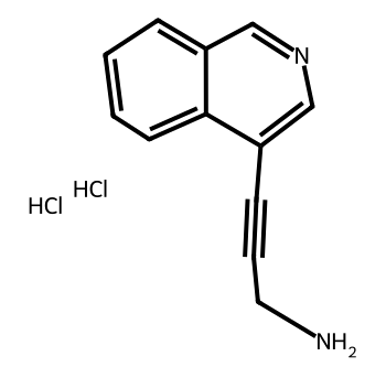 Cl.Cl.NCC#Cc1cncc2ccccc12